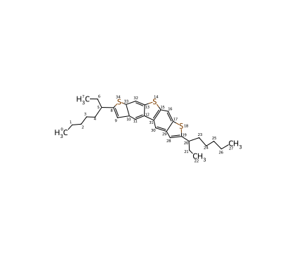 CCCCCC(CC)C1=CC2C=c3c(sc4cc5sc(C(CC)CCCCC)cc5cc34)=CC2S1